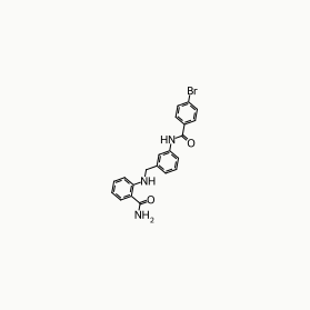 NC(=O)c1ccccc1NCc1cccc(NC(=O)c2ccc(Br)cc2)c1